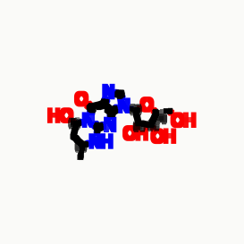 C[C@H]1C[C@@H](O)n2c(nc3c(ncn3[C@@H]3O[C@H](CO)[C@@H](O)[C@H]3O)c2=O)N1